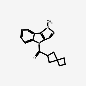 Cn1ncc2c1c1ccccc1n2C(=O)C1CC2(CCC2)C1